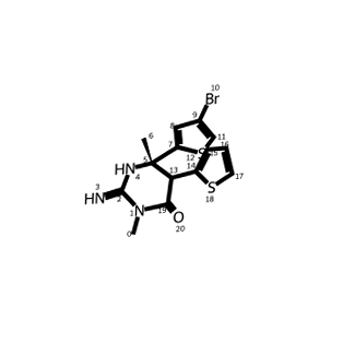 CN1C(=N)N[C@](C)(c2cc(Br)cs2)C(c2cccs2)C1=O